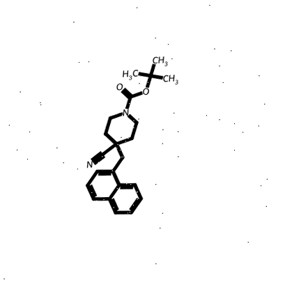 CC(C)(C)OC(=O)N1CCC(C#N)(Cc2cccc3ccccc23)CC1